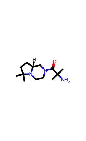 CC(C)(N)C(=O)N1CCN2[C@H](CCC2(C)C)C1